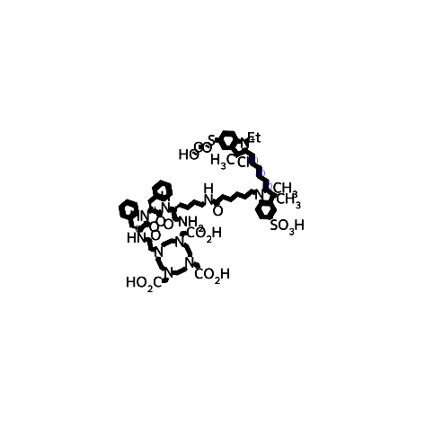 CC[N+]1=C(/C=C/C=C/C=C2\N(CCCCCC(=O)NCCCC[C@H](NC(=O)[C@H](Cc3ccccc3)NC(=O)[C@H](Cc3ccccc3)NC(=O)CN3CCN(CC(=O)O)CCN(CC(=O)O)CCN(CC(=O)O)CC3)C(N)=O)c3ccc(S(=O)(=O)O)cc3C2(C)C)C(C)(C)c2cc(SOOO)ccc21